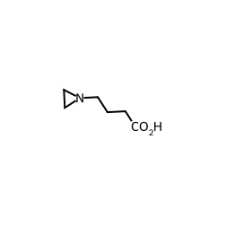 O=C(O)CCCN1CC1